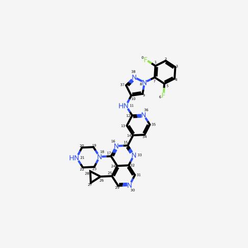 Fc1cccc(F)c1-n1cc(Nc2cc(-c3nc(N4CCNCC4)c4c(C5CC5)cncc4n3)ccn2)cn1